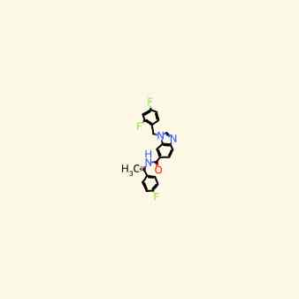 C[C@H](NC(=O)c1ccc2ncn(Cc3ccc(F)cc3F)c2c1)c1ccc(F)cc1